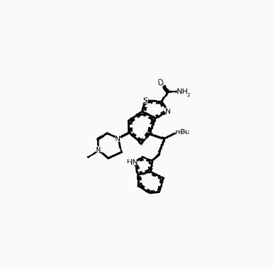 CCCCC(Cc1c[nH]c2ccccc12)c1cc(N2CCN(C)CC2)cc2sc(C(N)=O)nc12